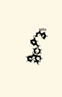 CNC(CCOc1cccc(CN2CCN([C@@]3(C(=O)c4ccccn4)CCOC(C)(C)C3)CC2)c1)c1cccs1